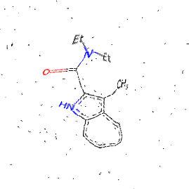 CCN(CC)C(=O)c1[nH]c2ccccc2c1C